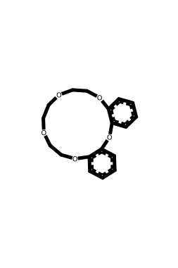 c1ccc2c(c1)OCCOCCOCCOc1ccccc1O2